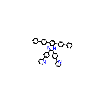 c1ccc(-c2ccc(-c3ccc(-c4ccc(-c5ccccc5)cc4)c4nc(-c5ccc(-c6ccccn6)cc5)c(-c5ccc(-c6ccccn6)cc5)nc34)cc2)cc1